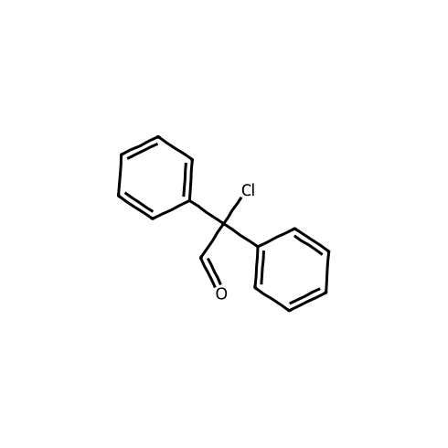 O=CC(Cl)(c1ccccc1)c1ccccc1